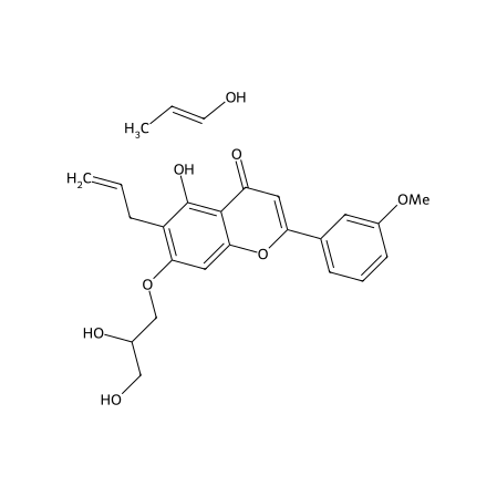 C=CCc1c(OCC(O)CO)cc2oc(-c3cccc(OC)c3)cc(=O)c2c1O.CC=CO